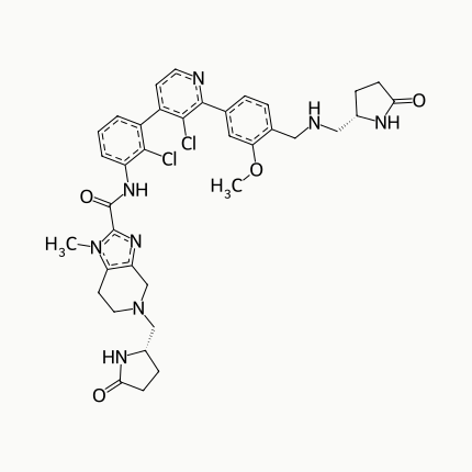 COc1cc(-c2nccc(-c3cccc(NC(=O)c4nc5c(n4C)CCN(C[C@@H]4CCC(=O)N4)C5)c3Cl)c2Cl)ccc1CNC[C@@H]1CCC(=O)N1